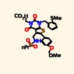 CCCS(=O)(=O)NCc1c(-c2ccc(OCOC)cc2)sc2c1c(=O)n(CC(=O)O)c(=O)n2Cc1ccccc1SC